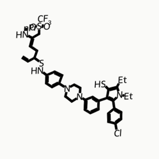 C=CC(C/C=C(\CS(=O)(=O)C(F)(F)F)NCCC)SNc1ccc(N2CCN(c3cccc(-c4c(S)c(CC)n(CC)c4-c4ccc(Cl)cc4)c3)CC2)cc1